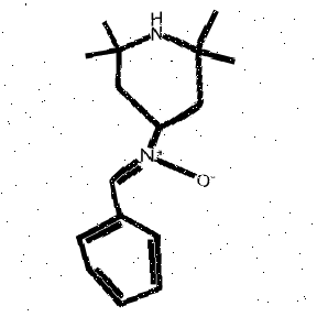 CC1(C)CC([N+]([O-])=Cc2ccccc2)CC(C)(C)N1